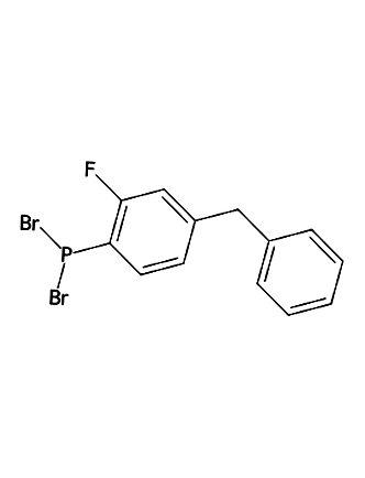 Fc1cc(Cc2ccccc2)ccc1P(Br)Br